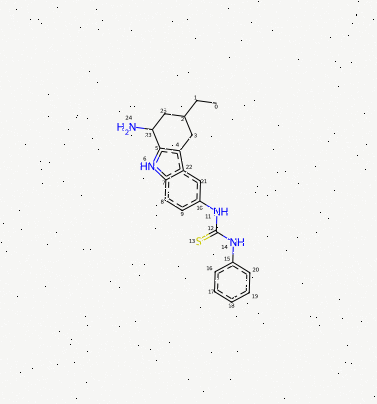 CCC1Cc2c([nH]c3ccc(NC(=S)Nc4ccccc4)cc23)C(N)C1